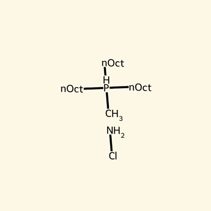 CCCCCCCC[PH](C)(CCCCCCCC)CCCCCCCC.NCl